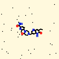 CCc1cc2ncc(CN3CCC(=O)N(c4ccc(C(=O)NC)nc4C)CC3)cc2[nH]c1=O